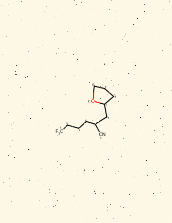 N#CC(CCCC(F)(F)F)CC1CCCO1